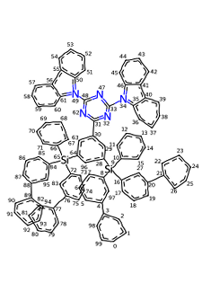 c1ccc(-c2cccc([Si](c3ccccc3)(c3cccc(-c4ccccc4)c3)c3cc(-c4nc(-n5c6ccccc6c6ccccc65)nc(-n5c6ccccc6c6ccccc65)n4)cc([Si](c4ccccc4)(c4cccc(-c5ccccc5)c4)c4cccc(-c5ccccc5)c4)c3)c2)cc1